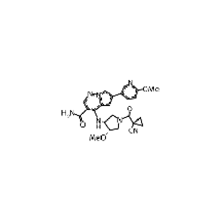 COc1ccc(-c2cc3c(N[C@@H]4CN(C(=O)C5(C#N)CC5)C[C@@H]4OC)c(C(N)=O)cnn3c2)cn1